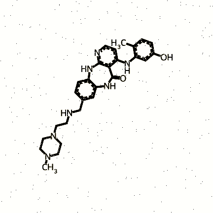 Cc1ccc(O)cc1Nc1ccnc2c1C(=O)Nc1cc(CNCCN3CCN(C)CC3)ccc1N2